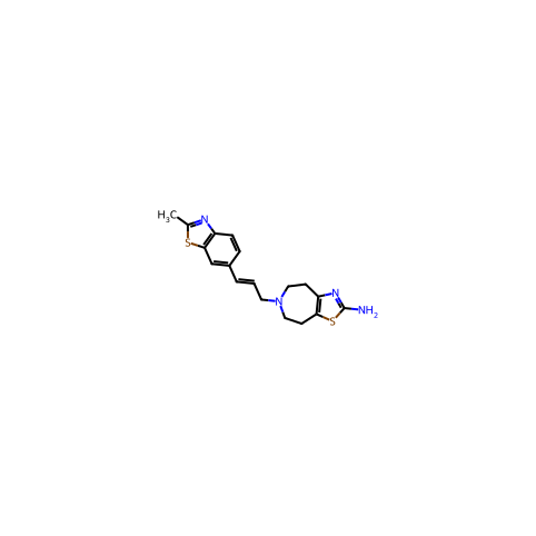 Cc1nc2ccc(C=CCN3CCc4nc(N)sc4CC3)cc2s1